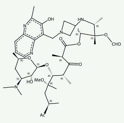 CO[C@](C)(C[C@@H](C)C(C)=O)[C@H](O[C@@H]1O[C@H](C)C[C@H](N(C)C)[C@H]1O)[C@@H](C)C(=O)[C@@H](C)C(=O)O[C@H](I)[C@@](C)(OC=O)[C@@H](C)NC1CN(Cc2c(O)c(C)nc3cccnc23)C1